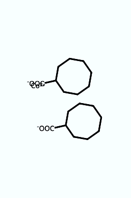 O=C([O-])C1CCCCCCC1.O=C([O-])C1CCCCCCC1.[Co+2]